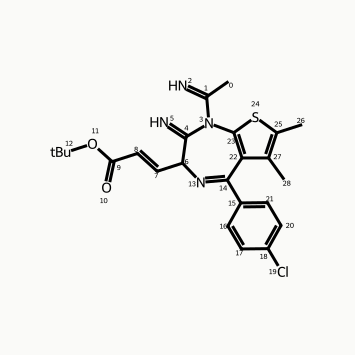 CC(=N)N1C(=N)C(/C=C/C(=O)OC(C)(C)C)N=C(c2ccc(Cl)cc2)c2c1sc(C)c2C